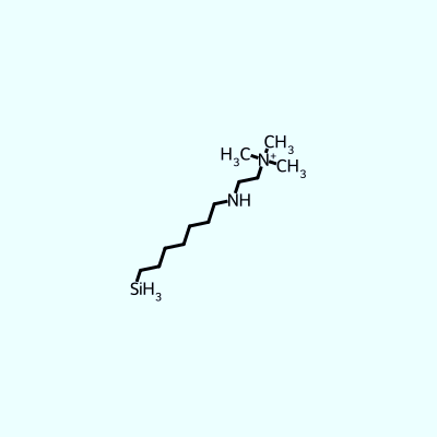 C[N+](C)(C)CCNCCCCCCC[SiH3]